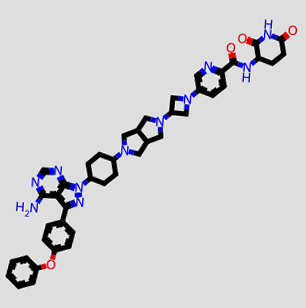 Nc1ncnc2c1c(-c1ccc(Oc3ccccc3)cc1)nn2C1CCC(N2CC3CN(C4CN(c5ccc(C(=O)NC6CCC(=O)NC6=O)nc5)C4)CC3C2)CC1